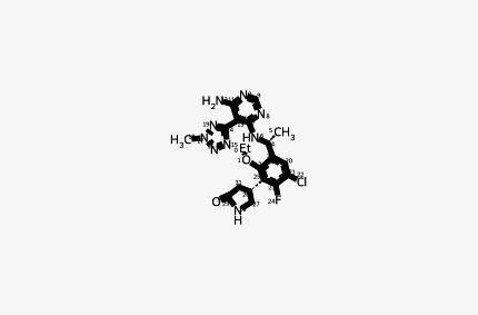 CCOc1c([C@@H](C)Nc2ncnc(N)c2-c2nnn(C)n2)cc(Cl)c(F)c1[C@@H]1CNC(=O)C1